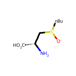 CCCC[S+]([O-])C[C@H](N)C(=O)O